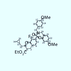 CCOC(=O)C(Cc1ccc(S(=O)(=O)N(Cc2ccc(OC)cc2)Cc2ccc(OC)cc2)c(F)c1)C(=O)CC1CC1